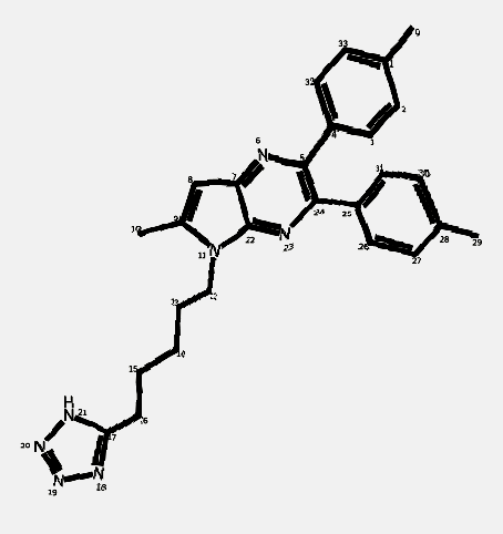 Cc1ccc(-c2nc3cc(C)n(CCCCCc4nnn[nH]4)c3nc2-c2ccc(C)cc2)cc1